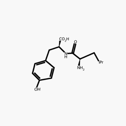 CC(C)C[C@@H](N)C(=O)N[C@@H](Cc1ccc(O)cc1)C(=O)O